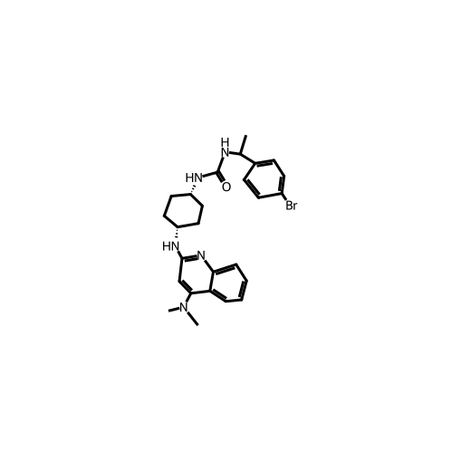 CC(NC(=O)N[C@H]1CC[C@@H](Nc2cc(N(C)C)c3ccccc3n2)CC1)c1ccc(Br)cc1